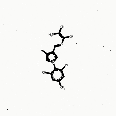 Cc1cn(-c2c(Cl)cc(C(F)(F)F)cc2Cl)cc1C=NC(C#N)=C(N)C#N